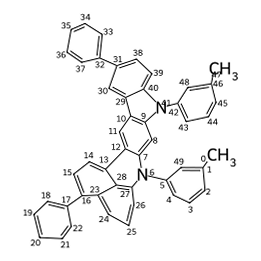 Cc1cccc(N2c3cc4c(cc3-c3ccc(-c5ccccc5)c5cccc2c35)c2cc(-c3ccccc3)ccc2n4-c2cccc(C)c2)c1